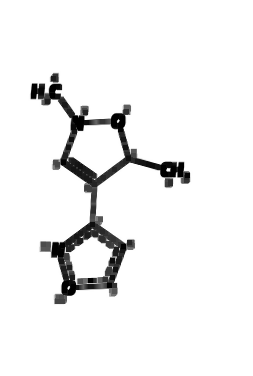 CC1ON(C)C=C1c1c[c]on1